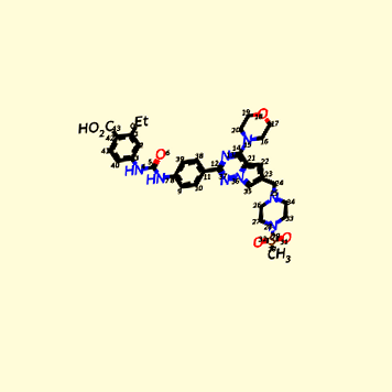 CCc1cc(NC(=O)Nc2ccc(-c3nc(N4CCOCC4)c4cc(CN5CCN(S(C)(=O)=O)CC5)cn4n3)cc2)ccc1C(=O)O